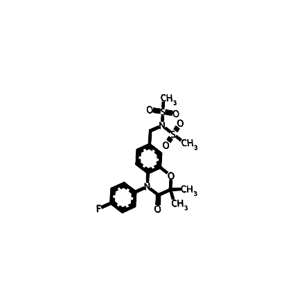 CC1(C)Oc2cc(CN(S(C)(=O)=O)S(C)(=O)=O)ccc2N(c2ccc(F)cc2)C1=O